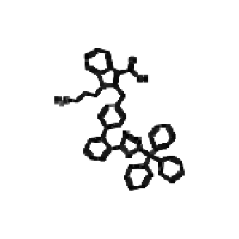 CCCCn1c(Cc2ccc(-c3ccccc3-c3nnn(C(c4ccccc4)(c4ccccc4)c4ccccc4)n3)cc2)c(C(=O)O)c2ccccc21